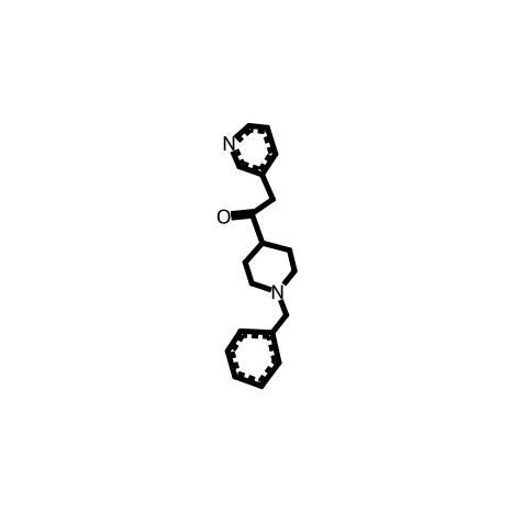 O=C(Cc1cccnc1)C1CCN(Cc2ccccc2)CC1